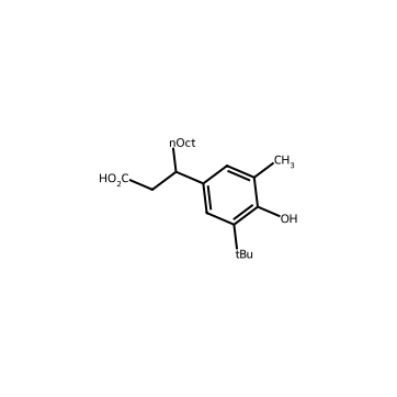 CCCCCCCCC(CC(=O)O)c1cc(C)c(O)c(C(C)(C)C)c1